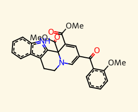 COC(=O)C1=CC(C(=O)c2ccccc2OC)=CN2CCc3c([nH]c4ccccc34)C12C(=O)OC